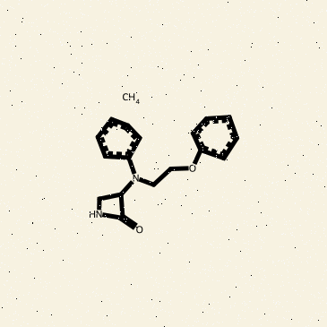 C.O=C1NCC1N(CCOc1ccccc1)c1ccccc1